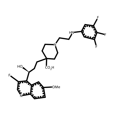 COc1ccc2ncc(F)c([C@@H](O)CCC3(C(=O)O)CCN(CCNc4cc(F)c(F)c(F)c4)CC3)c2c1